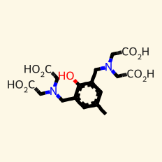 Cc1cc(CN(CC(=O)O)CC(=O)O)c(O)c(CN(CC(=O)O)CC(=O)O)c1